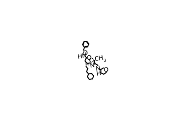 Cc1oc([C@H](CCCC2CCCCC2)CC(=O)NOCc2ccccc2)nc1CNC1CCCOC1